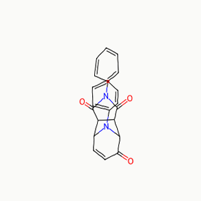 O=C1C=CC2C3C(=O)N(c4ccccc4)C(=O)C3C1N2c1ccccc1